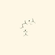 CC(CC(C)OS(=O)(=O)C(C)C)OS(=O)(=O)C(C)C